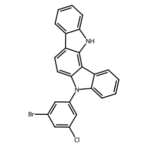 Clc1cc(Br)cc(-n2c3ccccc3c3c4[nH]c5ccccc5c4ccc32)c1